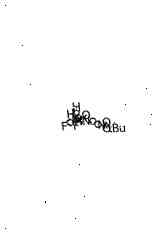 CC(C)(C)OC(=O)N1CCc2cc(NC(=O)c3nn(-c4ccc(F)cc4F)c4c3C[C@H]3C[C@@H]43)ccc2C1